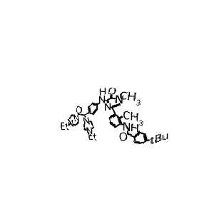 CCN1CCN(C(=O)C(c2ccc(Nc3nc(-c4cccc(NC(=O)c5ccc(C(C)(C)C)cc5)c4C)cn(C)c3=O)cc2)N2CCN(CC)CC2)CC1